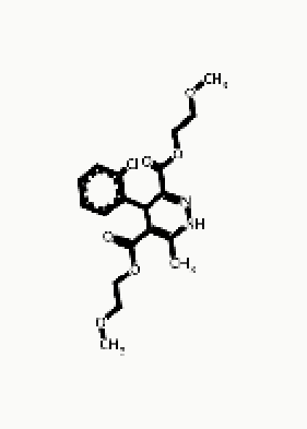 COCCOC(=O)C1=NNC(C)=C(C(=O)OCCOC)C1c1ccccc1Cl